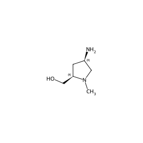 CN1C[C@H](N)C[C@@H]1CO